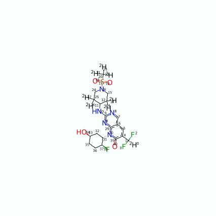 [2H]C(F)(F)c1cc2cnc(NC3C([2H])([2H])CN(S(=O)(=O)C([2H])([2H])[2H])CC3([2H])[2H])nc2n([C@H]2C[C@H](O)CC[C@@H]2F)c1=O